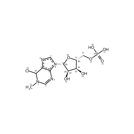 CN1C=Nc2c(ncn2[C@@H]2O[C@H](COP(=O)(O)O)[C@@H](O)[C@H]2O)C1Cl